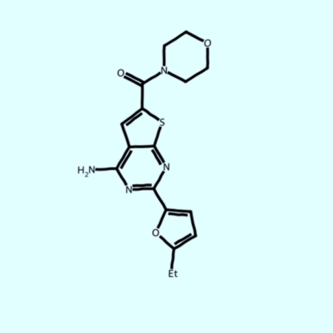 CCc1ccc(-c2nc(N)c3cc(C(=O)N4CCOCC4)sc3n2)o1